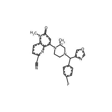 C[C@H]1CN(C(c2ccc(F)cc2)c2cocn2)CCN1c1cc(=O)n(C)c2ccc(C#N)nc12